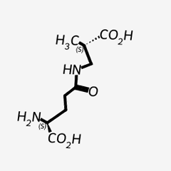 C[C@@H](CNC(=O)CC[C@H](N)C(=O)O)C(=O)O